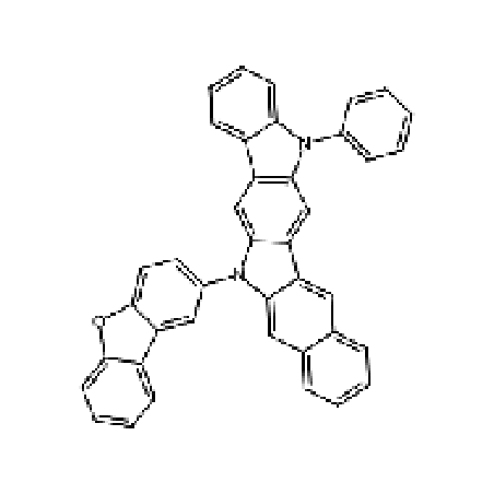 c1ccc(-n2c3ccccc3c3cc4c(cc32)c2cc3ccccc3cc2n4-c2ccc3oc4ccccc4c3c2)cc1